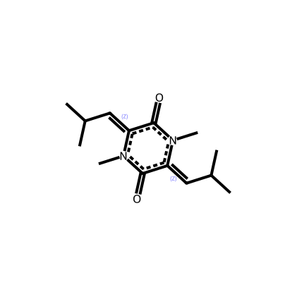 CC(C)/C=c1/c(=O)n(C)/c(=C\C(C)C)c(=O)n1C